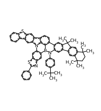 CC(C)(C)c1ccc(N2B3c4cc5nc(-c6ccccc6)sc5cc4-n4c5cc6c(cc5c5ccc(c3c54)-c3cc4c(cc32)-c2cc3c(cc2C4(C)C)C(C)(C)CCC3(C)C)sc2ccccc26)cc1